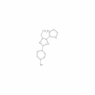 CCOC(=O)Cc1nc(-c2ccc(C(C)C)cc2)oc1-c1cccs1